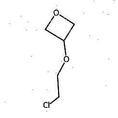 ClCCOC1COC1